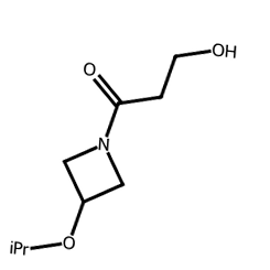 CC(C)OC1CN(C(=O)CCO)C1